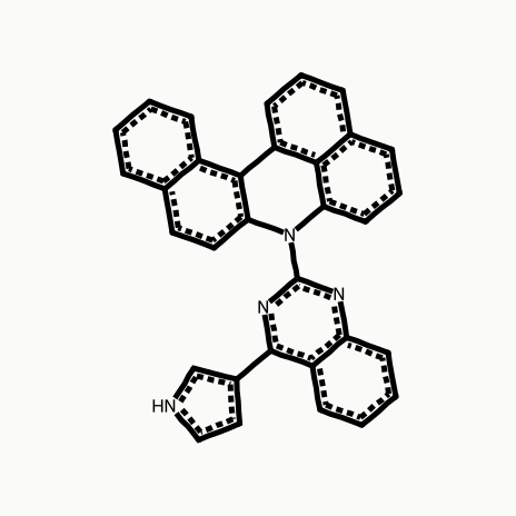 c1ccc2c3c(ccc2c1)N(c1nc(-c2cc[nH]c2)c2ccccc2n1)c1cccc2cccc-3c12